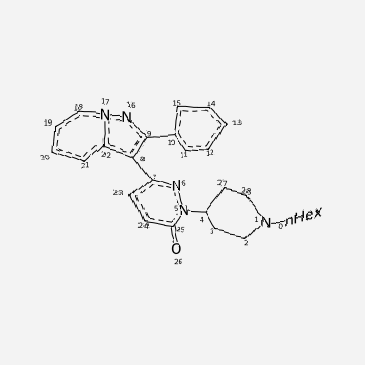 CCCCCCN1CCC(n2nc(-c3c(-c4ccccc4)nn4ccccc34)ccc2=O)CC1